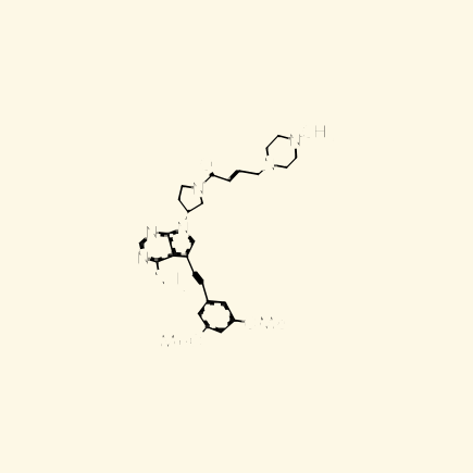 COc1cc(C#Cc2cn([C@H]3CCN(C(=O)C=CCN4CCN(C)CC4)C3)c3ncnc(N)c23)cc(OC)c1